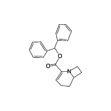 O=C(OC(c1ccccc1)c1ccccc1)C1=CCCC2CCN12